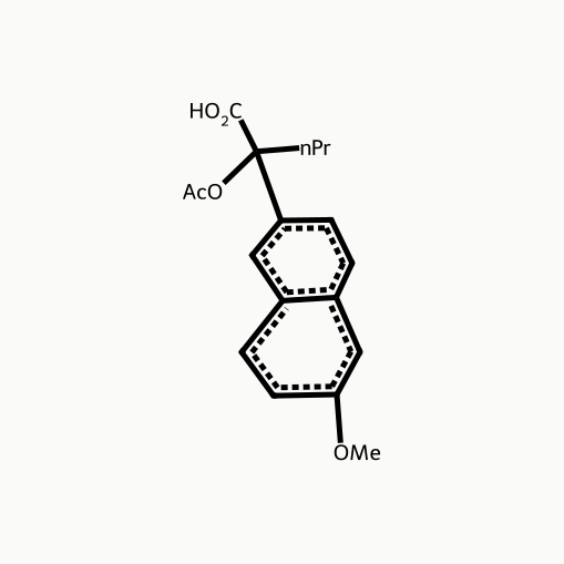 CCCC(OC(C)=O)(C(=O)O)c1ccc2cc(OC)ccc2c1